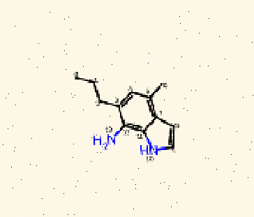 CCCc1cc(C)c2cc[nH]c2c1N